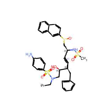 CC(C)CN(C[C@@H](O)[C@@H](/C=C/[C@@H](C[S+]([O-])c1ccc2ccccc2c1)NS(C)(=O)=O)Cc1ccccc1)S(=O)(=O)c1ccc(N)cc1